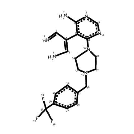 N=C/C(=C\N)c1c(N)ncnc1N1CCN(Cc2ccc(C(F)(F)F)cc2)CC1